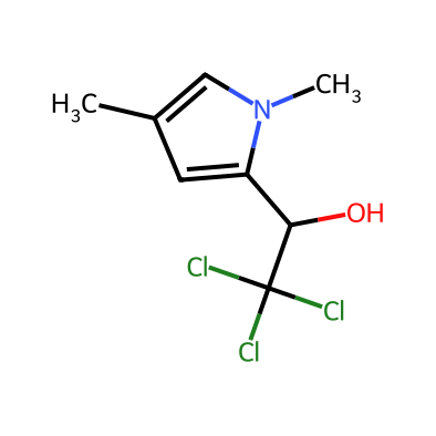 Cc1cc(C(O)C(Cl)(Cl)Cl)n(C)c1